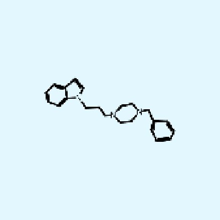 c1ccc(CN2CCN(CCCn3ccc4ccccc43)CC2)cc1